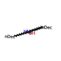 CCCCCCCCCCCCCCCCCCCCCCNC(O)CCCCCCCCCCCCCCCCCCCCC